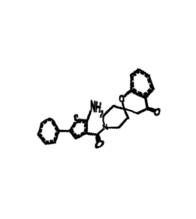 Nc1sc(-c2ccccc2)cc1C(=O)N1CCC2(CC1)CC(=O)c1ccccc1O2